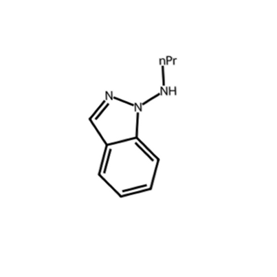 CCCNn1ncc2ccccc21